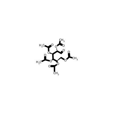 CC(=O)OC[C@@H](OC(C)=O)[C@@H](OC(C)=O)[C@@H](OC(C)=O)[C@@H](C=O)OC(C)=O